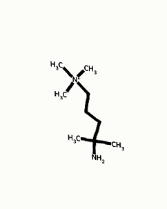 CC(C)(N)CCC[N+](C)(C)C